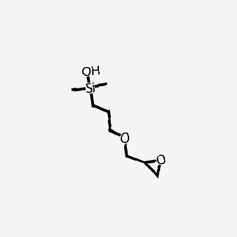 C[Si](C)(O)CCCOCC1CO1